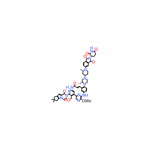 COc1ncc(-c2ccnc(N3CCn4c(cc5c4CC(C)(C)C5)C3=O)c2CO)nc1Nc1ccc(N2CCN(C3CCN(c4ccc5c(c4)C(=O)N(C4CCC(=O)NC4=O)C5=O)[C@H](C)C3)C[C@@H]2C)c(C=CC(N)=O)c1